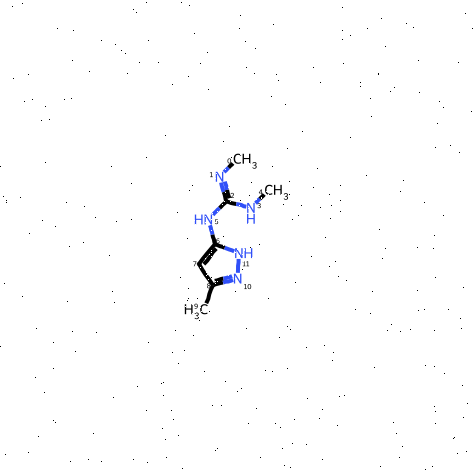 C/N=C(\NC)Nc1cc(C)n[nH]1